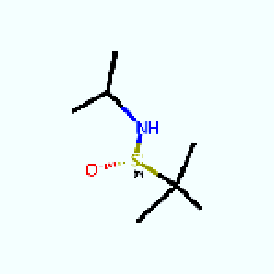 CC(C)N[S@@+]([O-])C(C)(C)C